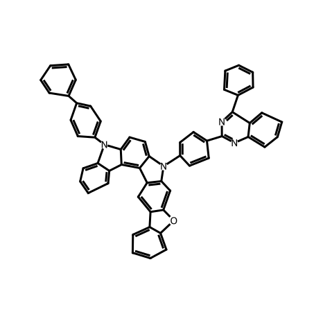 c1ccc(-c2ccc(-n3c4ccccc4c4c5c6cc7c(cc6n(-c6ccc(-c8nc(-c9ccccc9)c9ccccc9n8)cc6)c5ccc43)oc3ccccc37)cc2)cc1